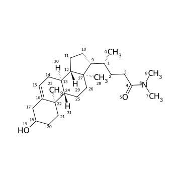 C[C@H](CCC(=O)N(C)C)[C@H]1CC[C@H]2[C@@H]3CC=C4CC(O)CC[C@]4(C)[C@H]3CC[C@]12C